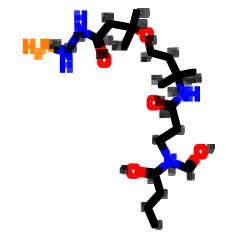 CCCC(=O)N(C=O)CCC(=O)NC(C)(C)CCOC(C)(C)CC(=O)NNP